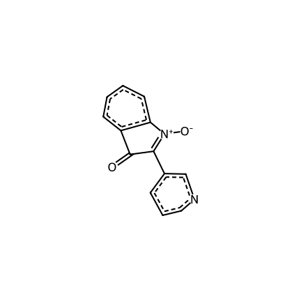 O=C1C(c2cccnc2)=[N+]([O-])c2ccccc21